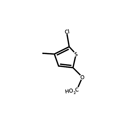 Cc1cc(OC(=O)O)sc1Cl